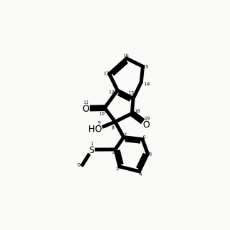 CSc1ccccc1C1(O)C(=O)C2=C(CCC=C2)C1=O